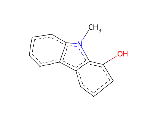 Cn1c2ccccc2c2cccc(O)c21